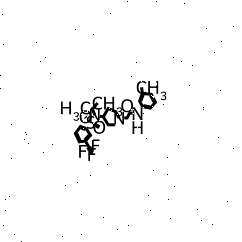 Cc1cccc(NC(=O)CN2CCC(N(C(C)C)S(=O)(=O)c3cccc(C(F)(F)F)c3)CC2)c1